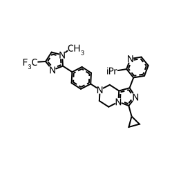 CC(C)c1ncccc1-c1nc(C2CC2)n2c1CN(c1ccc(-c3nc(C(F)(F)F)cn3C)cc1)CC2